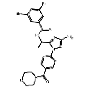 CC(NC(=O)c1cc(Br)cc(Br)c1)c1nc(N)nn1-c1ccc(C(=O)N2CCOCC2)cn1